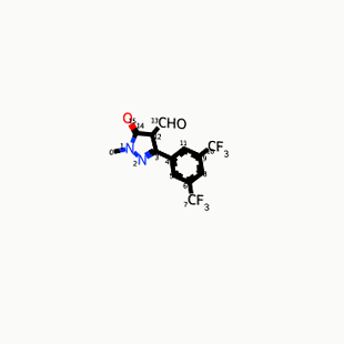 CN1N=C(c2cc(C(F)(F)F)cc(C(F)(F)F)c2)C(C=O)C1=O